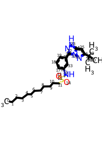 CCCCCCCCCCCCS(=O)(=O)Nc1cccc(-c2n[nH]c3cc(C(C)(C)C)nn23)c1